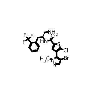 Cn1ncc(Br)c1-c1cc(C(=O)N[C@H](CN)Cc2ccccc2C(F)(F)F)sc1Cl